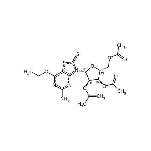 C=C(C)O[C@@H]1[C@H](OC(C)=O)[C@@H](COC(C)=O)O[C@H]1n1c(=S)sc2c(OCC)nc(N)nc21